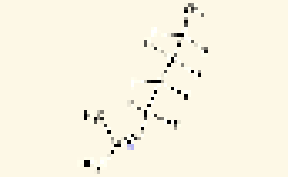 C/C(=C\C(F)(F)C(F)(F)C(F)(F)C(C)(F)F)C(=O)O